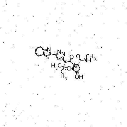 CNC(=O)[C@@H]1C[C@@H](O)CN1C(=O)[C@@H](n1cc(-c2nc3ccccc3s2)nn1)C(C)(C)C